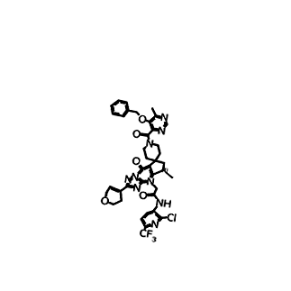 Cc1ncnc(C(=O)N2CCC3(CC2)C[C@@H](C)c2c3c(=O)n3nc(C4=CCOCC4)nc3n2CC(=O)Nc2ccc(C(F)(F)F)nc2Cl)c1OCc1ccccc1